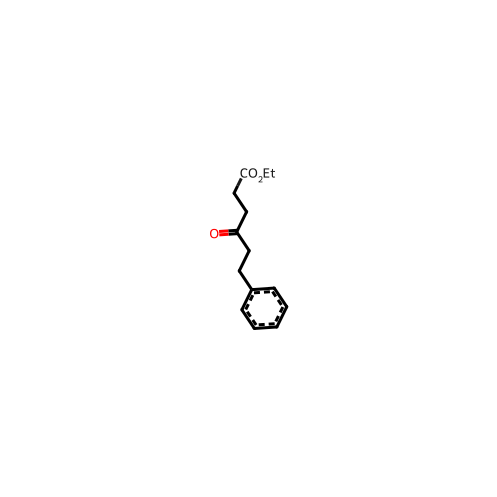 CCOC(=O)CCC(=O)CCc1ccccc1